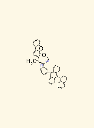 C=C1/C=C(c2cccc(-c3c4ccccc4c(-c4cccc5ccccc45)c4ccccc34)c2)\C=C/COc2c1ccc1c2oc2ccccc21